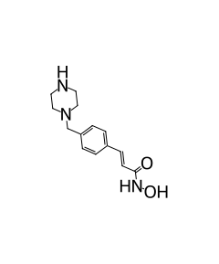 O=C(/C=C/c1ccc(CN2CCNCC2)cc1)NO